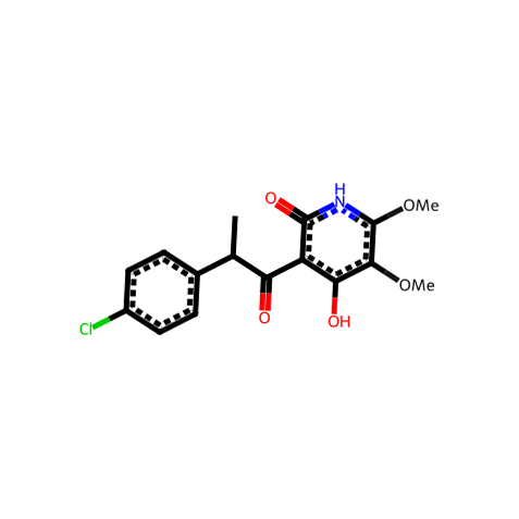 COc1[nH]c(=O)c(C(=O)C(C)c2ccc(Cl)cc2)c(O)c1OC